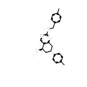 Cc1ccc(CNc2ncc3c(n2)C[C@@H](c2ccc(C)cc2)C/C3=N\O)cc1